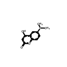 CN(C)c1ccc2oc(=O)cc(O)c2c1